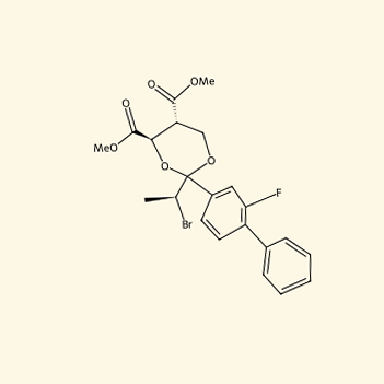 COC(=O)[C@@H]1COC(c2ccc(-c3ccccc3)c(F)c2)([C@H](C)Br)O[C@H]1C(=O)OC